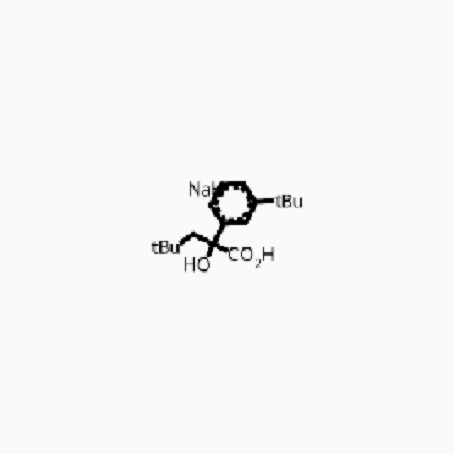 CC(C)(C)CC(O)(C(=O)O)c1cccc(C(C)(C)C)c1.[NaH]